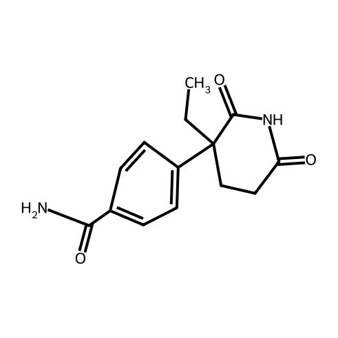 CCC1(c2ccc(C(N)=O)cc2)CCC(=O)NC1=O